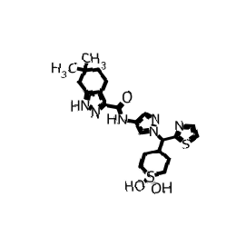 CC1(C)CCc2c(C(=O)Nc3cnn(C(c4nccs4)C4CCS(O)(O)CC4)c3)n[nH]c2C1